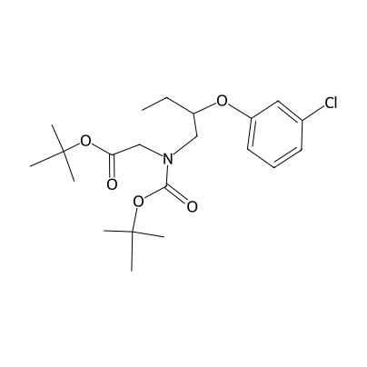 CCC(CN(CC(=O)OC(C)(C)C)C(=O)OC(C)(C)C)Oc1cccc(Cl)c1